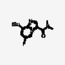 CN(C)C(=O)c1cnc2c(C(C)(C)C)cc(F)cn12